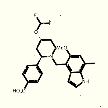 COc1cc(C)c2[nH]ccc2c1CN1CC[C@@H](OC(F)F)C[C@@H]1c1ccc(C(=O)O)cc1